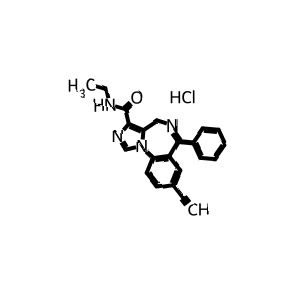 C#Cc1ccc2c(c1)C(c1ccccc1)=NCc1c(C(=O)NCC)ncn1-2.Cl